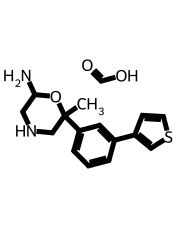 CC1(c2cccc(-c3ccsc3)c2)CNCC(N)O1.O=CO